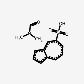 CN(C)C=O.O=S(=O)(O)c1cccc2cccc-2c1